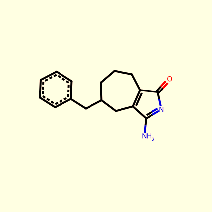 NC1=NC(=O)C2=C1CC(Cc1ccccc1)CCC2